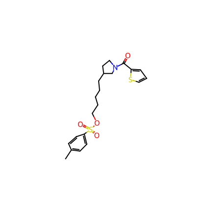 Cc1ccc(S(=O)(=O)OCCCCCC2CCN(C(=O)c3cccs3)C2)cc1